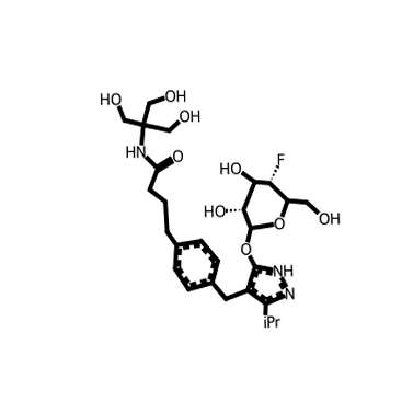 CC(C)c1n[nH]c(OC2OC(CO)[C@@H](F)C(O)[C@H]2O)c1Cc1ccc(CCCC(=O)NC(CO)(CO)CO)cc1